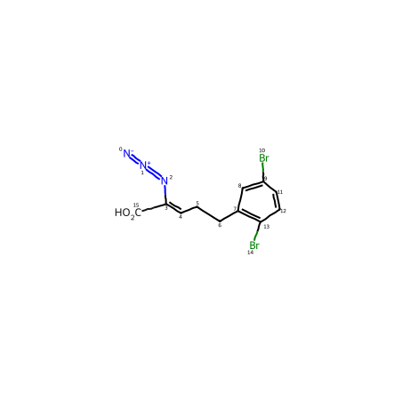 [N-]=[N+]=NC(=CCCc1cc(Br)ccc1Br)C(=O)O